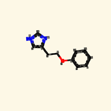 [c]1ccc(OCCc2c[nH]cn2)cc1